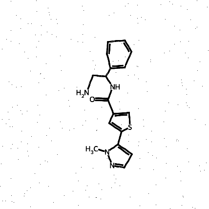 Cn1nccc1-c1cc(C(=O)NC(CN)c2ccccc2)cs1